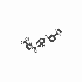 O=C(O)c1ccn(C(=O)N2C[C@H]3C[C@H](Oc4cccc(-c5nccs5)c4)C[C@H]3C2)n1